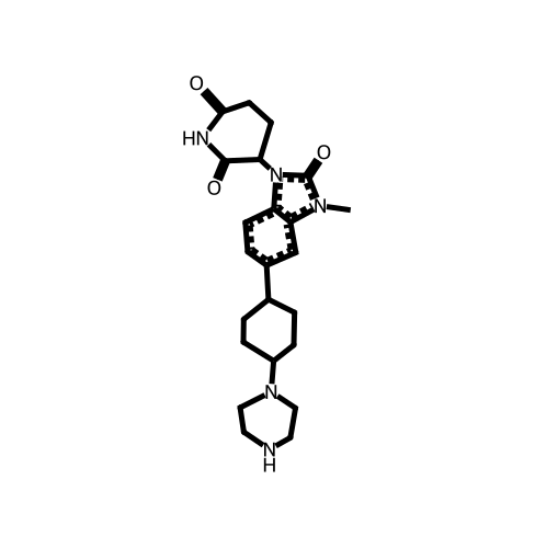 Cn1c(=O)n(C2CCC(=O)NC2=O)c2ccc(C3CCC(N4CCNCC4)CC3)cc21